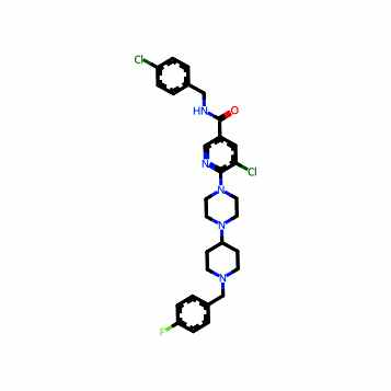 O=C(NCc1ccc(Cl)cc1)c1cnc(N2CCN(C3CCN(Cc4ccc(F)cc4)CC3)CC2)c(Cl)c1